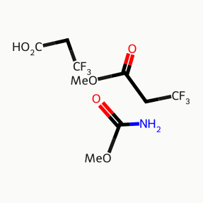 COC(=O)CC(F)(F)F.COC(N)=O.O=C(O)CC(F)(F)F